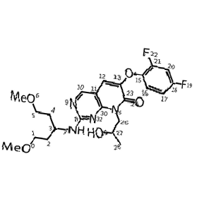 COCCC(CCOC)Nc1ncc2cc(Oc3ccc(F)cc3F)c(=O)n(CC(C)O)c2n1